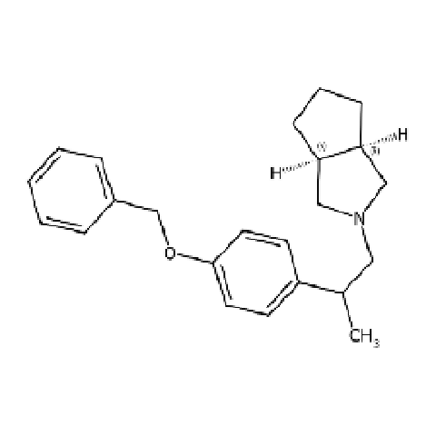 CC(CN1C[C@H]2CCC[C@H]2C1)c1ccc(OCc2ccccc2)cc1